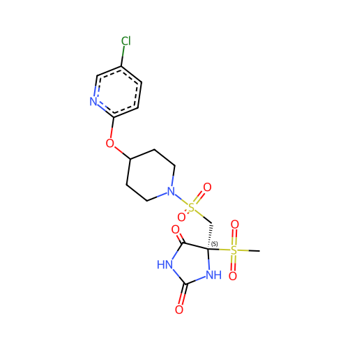 CS(=O)(=O)[C@@]1(CS(=O)(=O)N2CCC(Oc3ccc(Cl)cn3)CC2)NC(=O)NC1=O